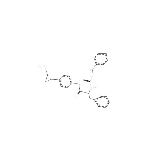 NC1CC1c1ccc(NC(=O)C(Cc2ccccc2)NC(=O)OCc2ccccc2)cc1